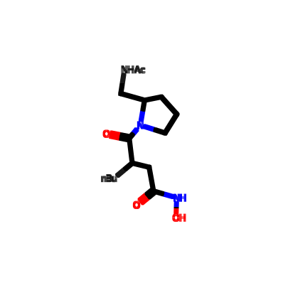 CCCCC(CC(=O)NO)C(=O)N1CCCC1CNC(C)=O